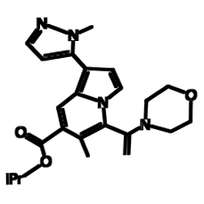 C=C(c1c(C)c(C(=O)OC(C)C)cc2c(-c3ccnn3C)ccn12)N1CCOCC1